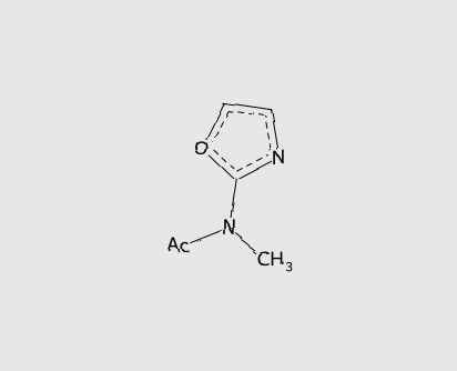 CC(=O)N(C)c1ncco1